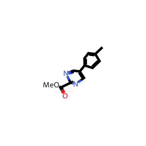 COC(=O)c1ncc(-c2ccc(C)cc2)cn1